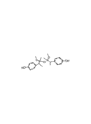 CO[Si](C)(O[Si](C)(OC)C(C)c1ccc(O)cc1)C(C)c1ccc(O)cc1